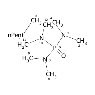 CCCCCC.CN(C)P(=O)(N(C)C)N(C)C